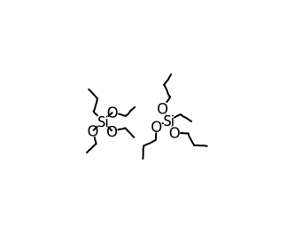 CCCO[Si](CC)(OCCC)OCCC.CCC[Si](OCC)(OCC)OCC